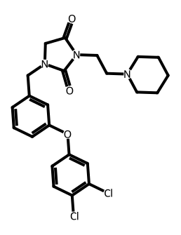 O=C1CN(Cc2cccc(Oc3ccc(Cl)c(Cl)c3)c2)C(=O)N1CCN1CCCCC1